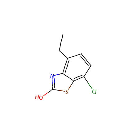 CCc1ccc(Cl)c2sc(O)nc12